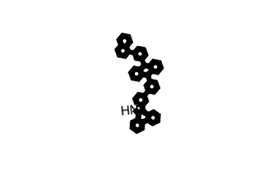 c1cc(-c2ccc3[nH]c4c5ccccc5c5ccccc5c4c3c2)cc(-c2c3ccccc3c(-c3cccc(-c4cccc5ccccc45)c3)c3ccccc23)c1